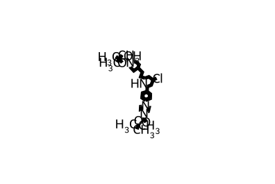 CC(C)(C)OC(=O)N1CCN(c2ccc(C3CC(Cl)CC(CCC4CCN(C(O)OC(C)(C)C)CC4)N3)cc2)CC1